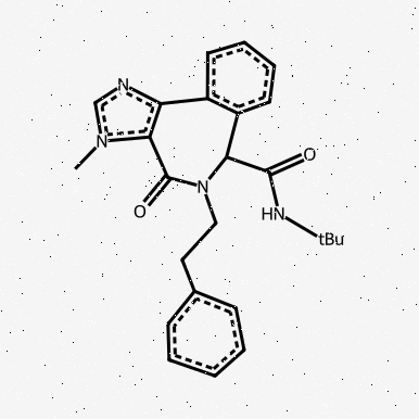 Cn1cnc2c1C(=O)N(CCc1ccccc1)C(C(=O)NC(C)(C)C)c1ccccc1-2